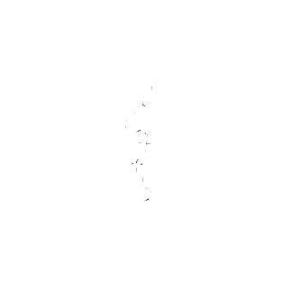 CCCC(=O)OC(CC)OC(=O)[C@H](O)C(C)(C)COS(=O)(=O)CCCNC(C)=O